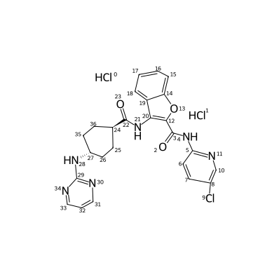 Cl.Cl.O=C(Nc1ccc(Cl)cn1)c1oc2ccccc2c1NC(=O)[C@H]1CC[C@H](Nc2ncccn2)CC1